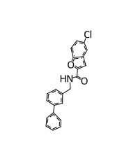 O=C(NCc1cccc(-c2ccccc2)c1)c1cc2cc(Cl)ccc2o1